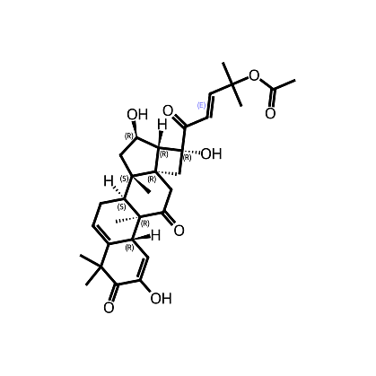 CC(=O)OC(C)(C)/C=C/C(=O)[C@@]1(O)C[C@]23CC(=O)[C@@]4(C)[C@@H]5C=C(O)C(=O)C(C)(C)C5=CC[C@H]4[C@]2(C)C[C@@H](O)[C@@H]31